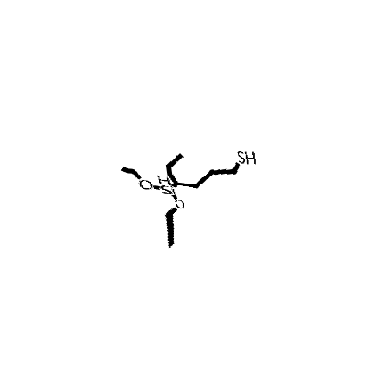 CCO[SiH](OCC)C(CC)CCCS